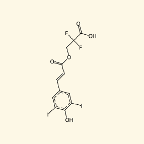 O=C(/C=C/c1cc(I)c(O)c(I)c1)OCC(F)(F)C(=O)O